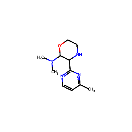 Cc1ccnc(C2NCCOC2N(C)C)n1